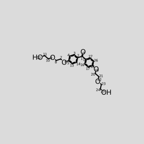 O=C(c1ccc(OCCOCCO)cc1)c1ccc(OCCOCCO)cc1